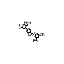 COc1cc(C2CC(=O)Nc3n[nH]cc32)ccc1COc1cc(C(F)F)cc(C(F)(F)F)c1